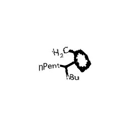 [CH2]c1ccccc1C(CCCC)CCCCC